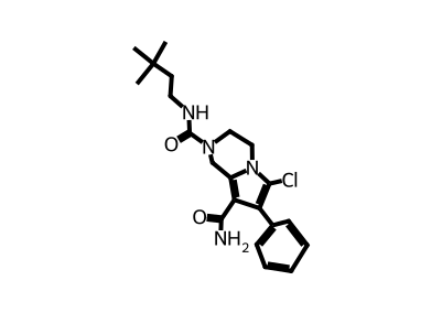 CC(C)(C)CCNC(=O)N1CCn2c(Cl)c(-c3ccccc3)c(C(N)=O)c2C1